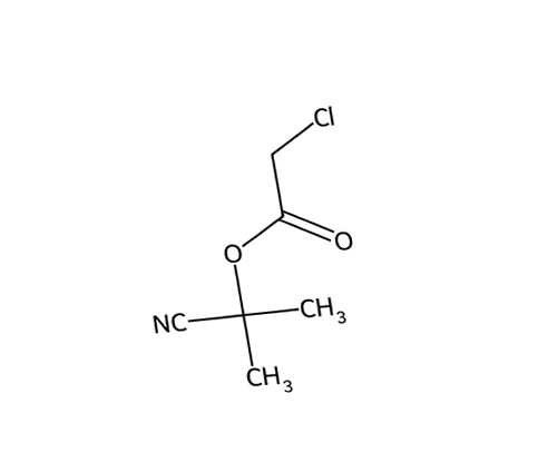 CC(C)(C#N)OC(=O)CCl